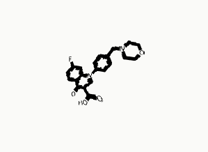 O=C(O)c1cn(-c2ccc(CN3CCOCC3)cc2)c2cc(F)ccc2c1=O